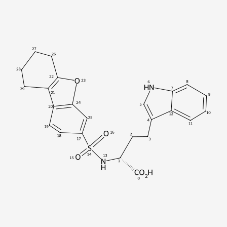 O=C(O)[C@@H](CCc1c[nH]c2ccccc12)NS(=O)(=O)c1ccc2c3c(oc2c1)CCCC3